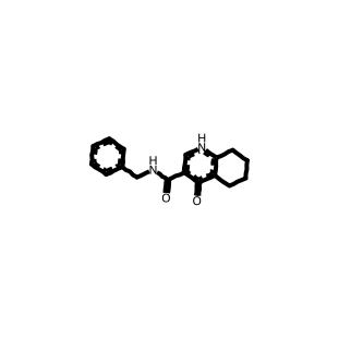 O=C(NCc1ccccc1)c1c[nH]c2c(c1=O)CCCC2